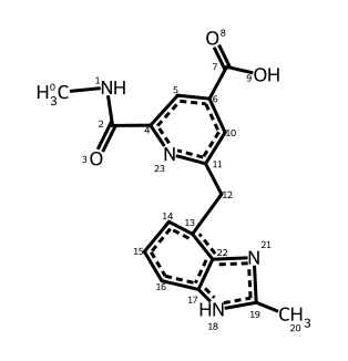 CNC(=O)c1cc(C(=O)O)cc(Cc2cccc3[nH]c(C)nc23)n1